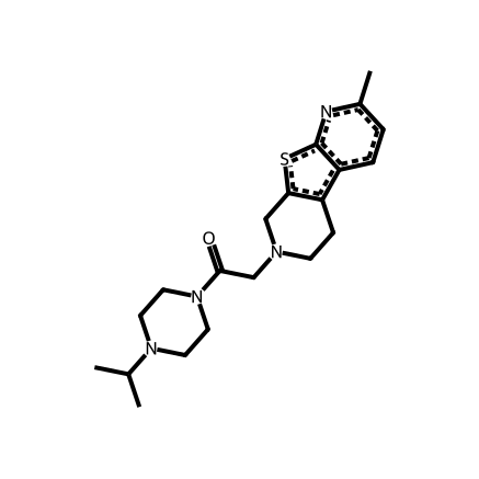 Cc1ccc2c3c(sc2n1)CN(CC(=O)N1CCN(C(C)C)CC1)CC3